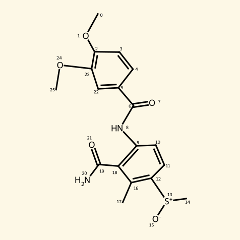 COc1ccc(C(=O)Nc2ccc([S+](C)[O-])c(C)c2C(N)=O)cc1OC